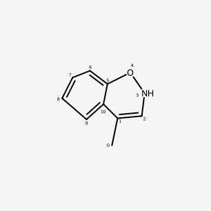 CC1=CNOc2ccccc21